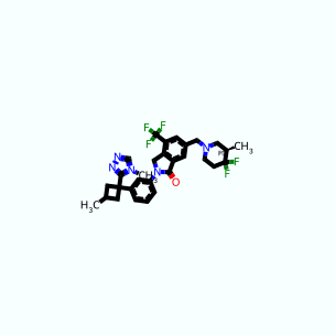 CC1CC(c2cccc(N3Cc4c(cc(CN5CCC(F)(F)[C@H](C)C5)cc4C(F)(F)F)C3=O)c2)(c2nncn2C)C1